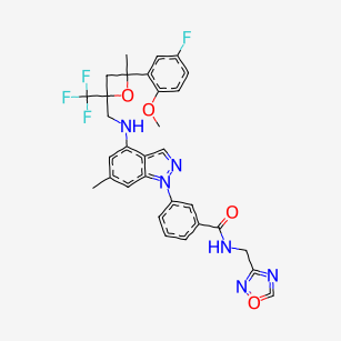 COc1ccc(F)cc1C1(C)CC(CNc2cc(C)cc3c2cnn3-c2cccc(C(=O)NCc3ncon3)c2)(C(F)(F)F)O1